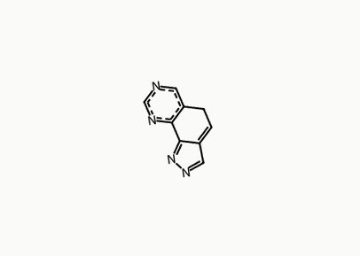 C1=NN=C2C1=CCc1cncnc12